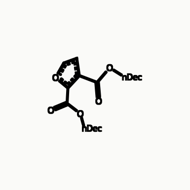 CCCCCCCCCCOC(=O)c1ccoc1C(=O)OCCCCCCCCCC